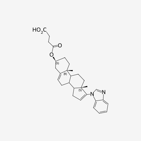 C[C@]12CC[C@H](OC(=O)CCC(=O)O)CC1=CCC1C2CC[C@]2(C)C(n3cnc4ccccc43)=CCC12